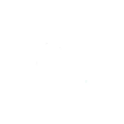 C=C(C)c1cc(F)ccc1Br